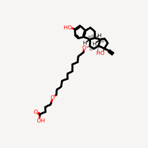 C#C[C@]1(O)CC[C@H]2[C@@H]3CCc4cc(O)ccc4[C@H]3[C@@H](OCCCCCCCCCCCOCCCC(=O)O)C[C@@]21C